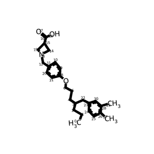 CCCC(CCCOc1ccc(CN2CC(C(=O)O)C2)cc1)Cc1ccc(C)c(C)c1